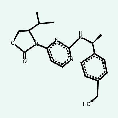 CC(C)C1COC(=O)N1c1ccnc(N[C@@H](C)c2ccc(CO)cc2)n1